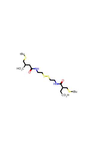 CC(C)(C)SCC(CC(=O)NCCSSCCNC(=O)C(CSC(C)(C)C)CC(=O)O)C(=O)O